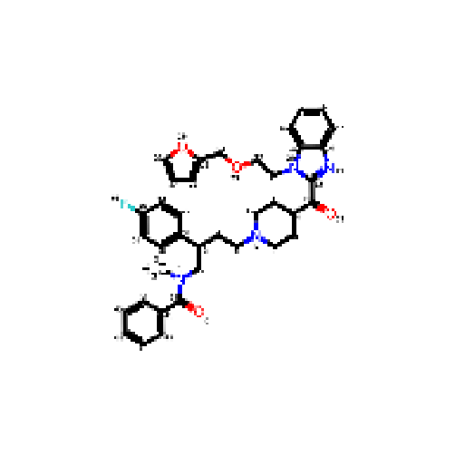 CN(CC(CCN1CCC(C(=O)c2nc3ccccc3n2CCOCc2ccco2)CC1)c1ccc(F)cc1)C(=O)c1ccccc1